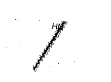 CCCCCCCCCCCCCCCCCCCCCCCCCNCCC